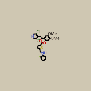 COc1ccc([C@H](Cc2c(Cl)cncc2Cl)OC(=O)c2ccc(CNc3ccccc3F)s2)cc1OC